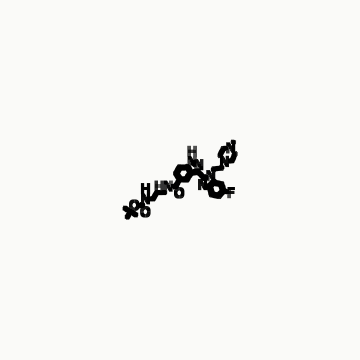 CN1CCN(CCn2c(-c3n[nH]c4ccc(C(=O)NCCCNC(=O)OC(C)(C)C)cc34)nc3ccc(F)cc32)CC1